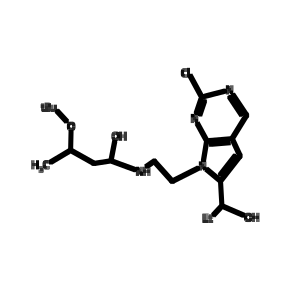 CCC(O)c1cc2cnc(Cl)nc2n1CCNC(O)CC(C)OC(C)(C)C